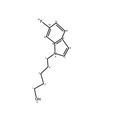 OCCCCCn1ccc2ccc(F)cc21